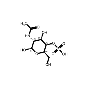 CC(=O)N[C@@H]1[C@@H](O)[C@@H](OS(=O)(=O)O)[C@@H](CO)O[C@H]1O